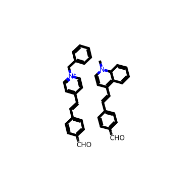 CN1C=CC(C=Cc2ccc(C=O)cc2)=C2C=CC=CC21.O=Cc1ccc(C=Cc2cc[n+](Cc3ccccc3)cc2)cc1